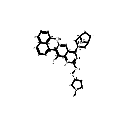 CN1CC[C@@H](COc2nc(N3CC4CCC(C3)N4)c3cnc(-c4cccc5cccc(Cl)c45)c(F)c3n2)C1